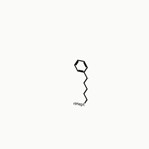 [CH2]CCCCCCCCCC[CH]c1ccccc1